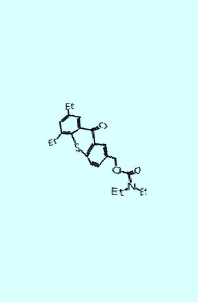 CCc1cc(CC)c2sc3ccc(COC(=O)N(CC)CC)cc3c(=O)c2c1